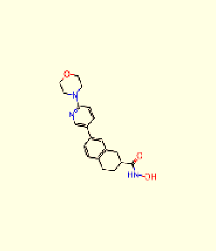 O=C(NO)C1CCc2ccc(-c3ccc(N4CCOCC4)nc3)cc2C1